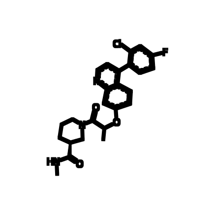 CNC(=O)[C@H]1CCCN(C(=O)C(C)Oc2ccc3c(-c4ccc(F)cc4Cl)ccnc3c2)C1